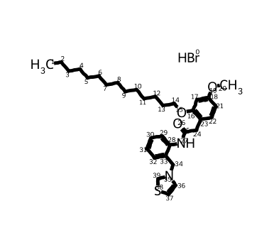 Br.CCCCCCCCCCCCCCOc1cc(OC)ccc1CC(=O)Nc1ccccc1CN1C=CSC1